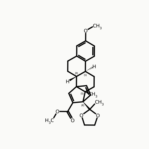 COC(=O)C1=CC23C=C[C@@]1(C1(C)OCCO1)[C@@]2(C)CC[C@@H]1c2ccc(OC)cc2CC[C@H]13